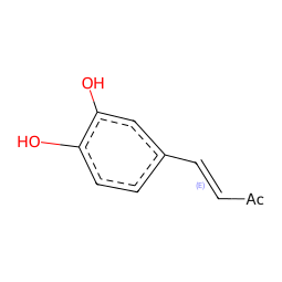 CC(=O)/C=C/c1ccc(O)c(O)c1